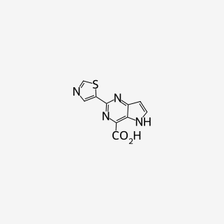 O=C(O)c1nc(-c2cncs2)nc2cc[nH]c12